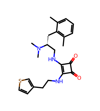 Cc1cccc(C)c1C[C@H](CNc1c(NCCc2ccsc2)c(=O)c1=O)N(C)C